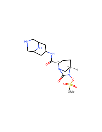 COS(=O)(=O)ON1C(=O)N2C[C@H]1CC[C@H]2C(=O)NC1CC2CNCC(C1)N2